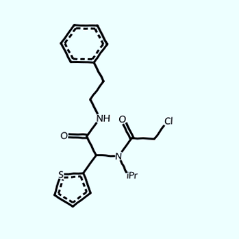 CC(C)N(C(=O)CCl)C(C(=O)NCCc1ccccc1)c1cccs1